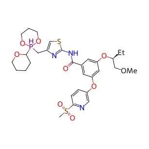 CC[C@@H](COC)Oc1cc(Oc2ccc(S(C)(=O)=O)nc2)cc(C(=O)Nc2nc(C[PH]3(C4CCCCO4)OCCCO3)cs2)c1